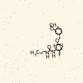 CCCNC(=O)Nc1nc(OCc2cccc(OC)c2)ncc1F